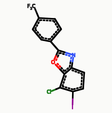 FC(F)(F)c1ccc(-c2nc3ccc(I)c(Cl)c3o2)cc1